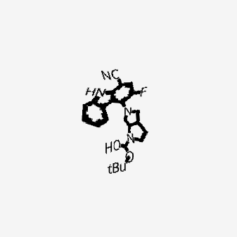 CC(C)(C)OC(O)N1CCC2CN(c3c(F)cc(C#N)c4[nH]c5ccccc5c34)CC21